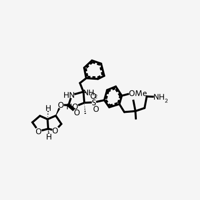 COc1ccc(S(=O)(=O)[C@@](C)(O)[C@](N)(Cc2ccccc2)NC(=O)O[C@H]2CO[C@H]3OCC[C@H]32)cc1CC(C)(C)CCN